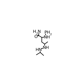 CC(C)NNC(C)CC(NP)C(N)=O